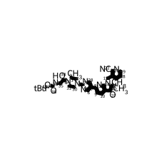 C[C@@H]1CN(c2ncc(-c3ccc4c(n3)N(Cc3cccnc3C#N)C(C)(C)C4=O)cn2)CCN1C(=O)CNC(=O)OC(C)(C)C